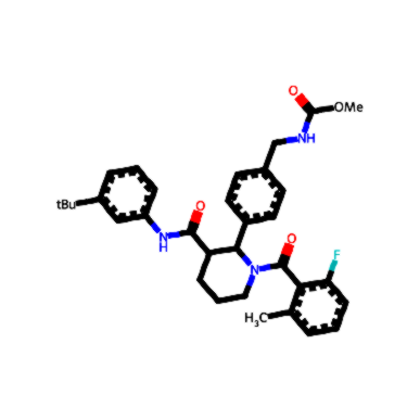 COC(=O)NCc1ccc(C2C(C(=O)Nc3cccc(C(C)(C)C)c3)CCCN2C(=O)c2c(C)cccc2F)cc1